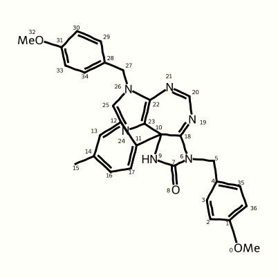 COc1ccc(CN2C(=O)NC3(c4ccc(C)cc4)C2=NC=Nc2c3ncn2Cc2ccc(OC)cc2)cc1